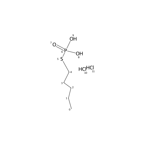 CCCCCSP(=O)(O)O.Cl.Cl